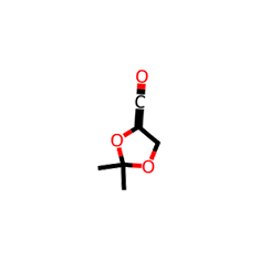 CC1(C)OCC(=C=O)O1